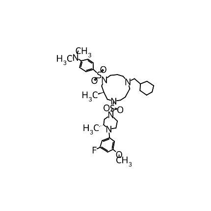 COc1cc(F)cc(N2CCN(S(=O)(=O)N3CCCN(CC4CCCCC4)CCCN(S(=O)(=O)c4ccc(N(C)C)cc4)C[C@H](C)C3)C[C@H]2C)c1